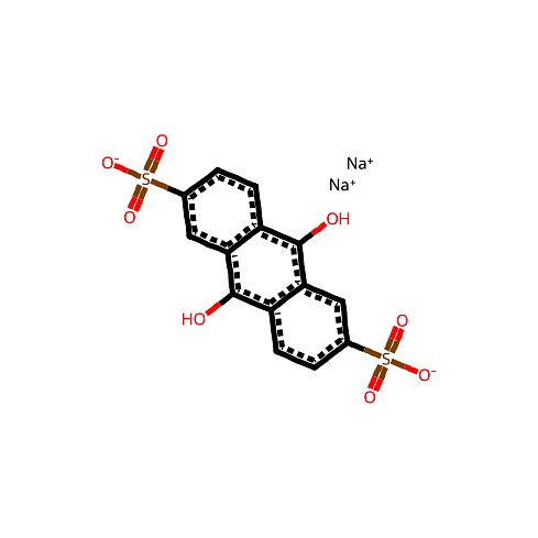 O=S(=O)([O-])c1ccc2c(O)c3cc(S(=O)(=O)[O-])ccc3c(O)c2c1.[Na+].[Na+]